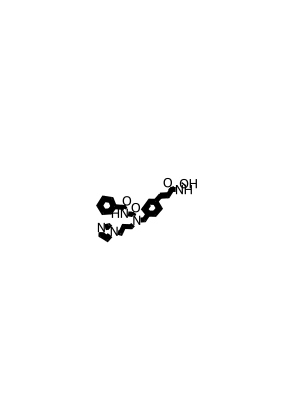 O=C(C=Cc1ccc(CN(CCCn2ccnc2)C(=O)NC(=O)c2ccccc2)cc1)NO